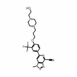 Cn1nnc2c(C#N)nc(-c3ccc(OCCCN4CCN(CCO)CC4)c(C(F)(F)F)c3)cc21